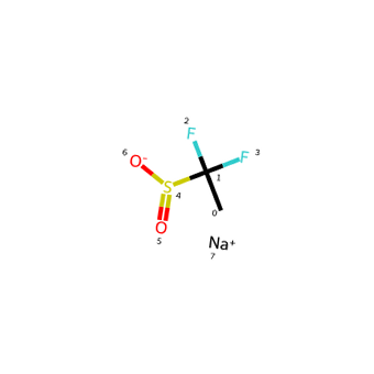 CC(F)(F)S(=O)[O-].[Na+]